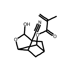 C=C(C)C(=O)OC1C2CC3C1OC(O)C3(C#N)C2